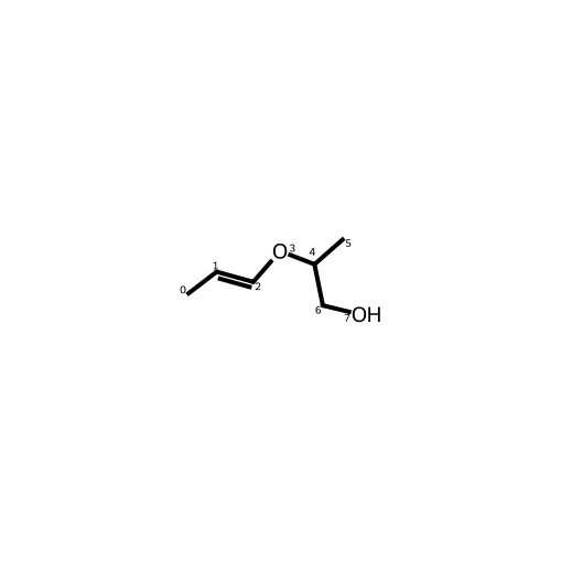 CC=COC(C)CO